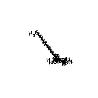 CCCCCCCCCCCCCCCCCCCCCC(=O)[C@](N)(CSSC[C@H](N)C(=O)O)C(=O)O